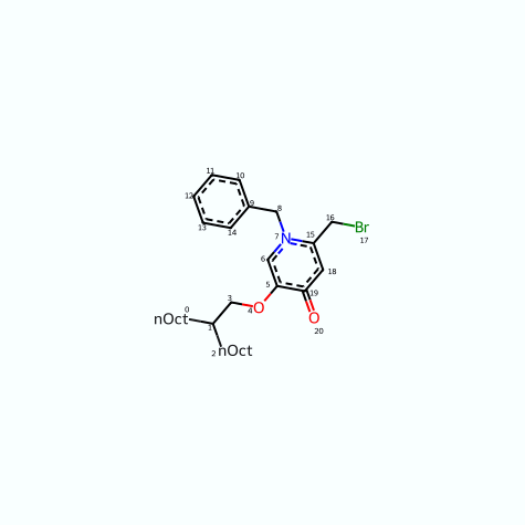 CCCCCCCCC(CCCCCCCC)COc1cn(Cc2ccccc2)c(CBr)cc1=O